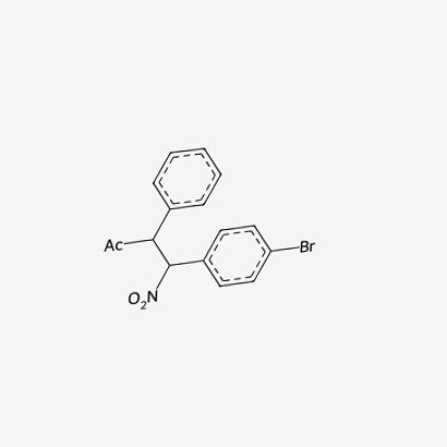 CC(=O)C(c1ccccc1)C(c1ccc(Br)cc1)[N+](=O)[O-]